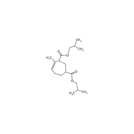 CC1=CCCC(C(=O)OCC(C)C)CC1C(=O)OCC(C)C